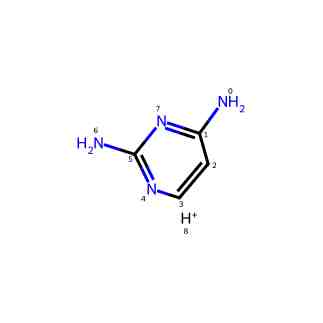 Nc1ccnc(N)n1.[H+]